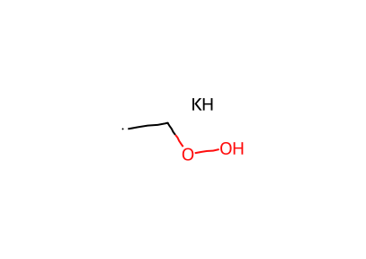 [CH2]COO.[KH]